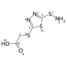 NSc1nnc(SCC(=O)O)s1